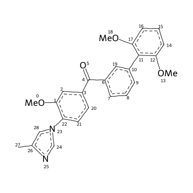 COc1cc(C(=O)c2cccc(-c3c(OC)cccc3OC)c2)ccc1-n1cnc(C)c1